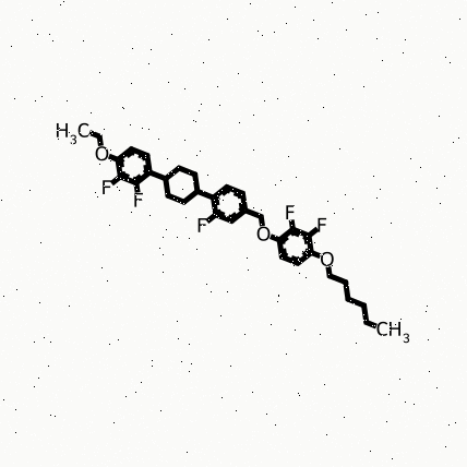 CCCCCCOc1ccc(OCc2ccc(C3CCC(c4ccc(OCC)c(F)c4F)CC3)c(F)c2)c(F)c1F